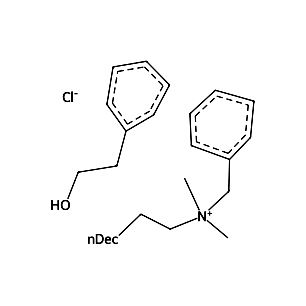 CCCCCCCCCCCC[N+](C)(C)Cc1ccccc1.OCCc1ccccc1.[Cl-]